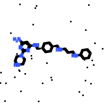 Nc1cc(NC[C@H]2CC[C@H](CNCCCNC3CCCCC3)CC2)nc(N2CCNCC2)n1